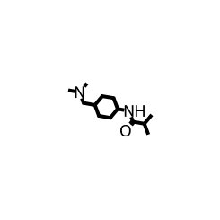 CC(C)C(=O)NC1CCC(CN(C)C)CC1